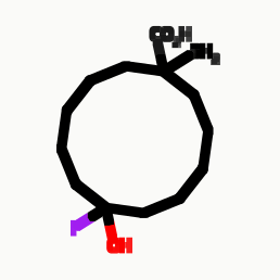 BC1(C(=O)O)CCCCCC(O)(I)CCCCC1